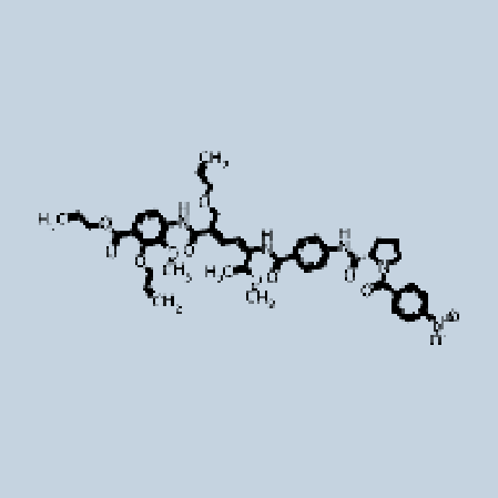 C=CCOC/C(=C\C=C(\NC(=O)c1ccc(NC(=O)[C@@H]2CCCN2C(=O)c2ccc([N+](=O)[O-])cc2)cc1)C(=C)OC)C(=O)Nc1ccc(C(=O)OCC=C)c(OCC=C)c1OC